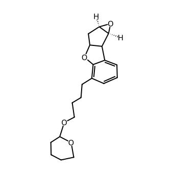 c1cc(CCCCOC2CCCCO2)c2c(c1)C1C(C[C@H]3O[C@@H]13)O2